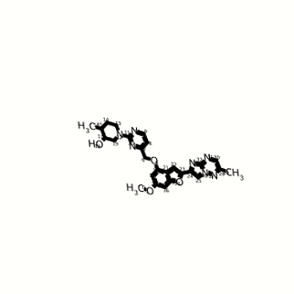 COc1cc(OCc2ccnc(N3CCC(C)C(O)C3)n2)c2cc(-c3cn4nc(C)cnc4n3)oc2c1